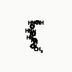 Cc1cccc(-c2nccc(Nc3ccnc(Nc4ccc(NC5CCNC5)cc4)n3)n2)n1